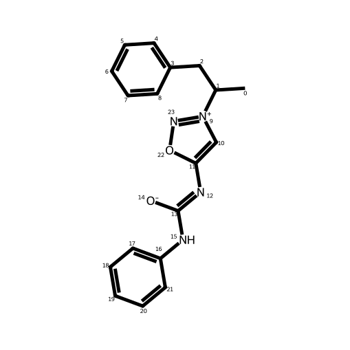 CC(Cc1ccccc1)[n+]1cc(N=C([O-])Nc2ccccc2)on1